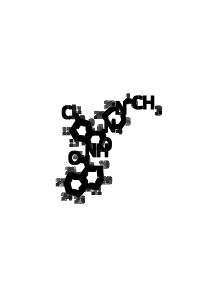 CCN1CCN(C(=O)c2cc(Cl)ccc2NC(=O)c2cccc3ccccc23)CC1